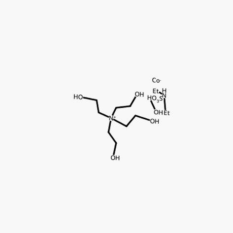 CCNCC.O=S(=O)(O)O.OCC[N+](CCO)(CCO)CCO.[Co]